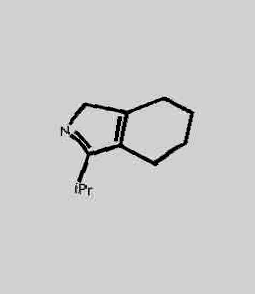 CC(C)C1=NCC2=C1CCCC2